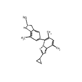 Cc1cc(-c2c(C(F)(F)F)cc(C)c3nc(C4CC4)nn23)cc2c1NC(O)C2